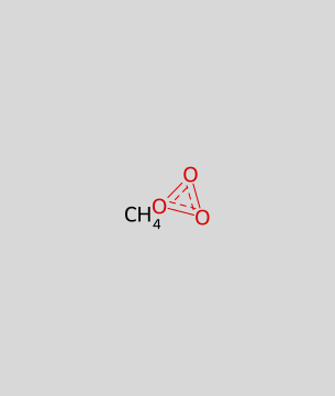 C.o1oo1